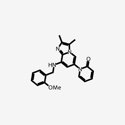 COc1ccccc1CNc1cc(-n2ccccc2=O)cn2c(C)c(C)nc12